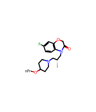 CCCOC1CCN(C[C@@H](C)CN2C(=O)COc3cc(F)ccc32)CC1